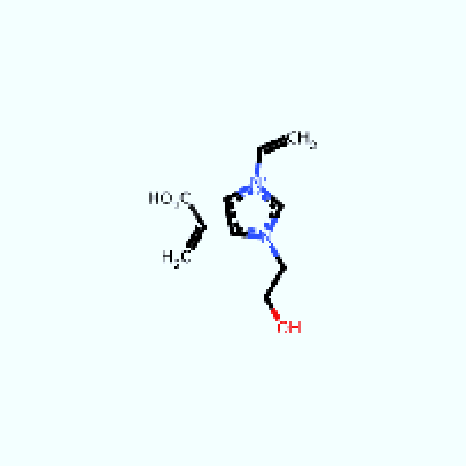 C=CC(=O)O.C=C[n+]1ccn(CCO)c1